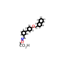 O=C(O)CO/N=C/c1cccc(-c2ccc(OCc3ccc4ccccc4c3)cc2)c1